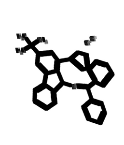 CC(C)(C)c1cc(C2=CC=CC2)c2c(c1)-c1ccccc1[CH]2[Ti+2]=[C](c1ccccc1)c1ccccc1.[Cl-].[Cl-]